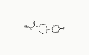 CC(C)(C)OC(=O)C1CCCN(c2ccc(F)cn2)CC1